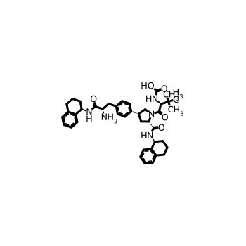 CC(C)(C)[C@H](NC(=O)O)C(=O)N1C[C@@H](c2ccc(C[C@H](N)C(=O)N[C@@H]3CCCc4ccccc43)cc2)C[C@H]1C(=O)N[C@@H]1CCCc2ccccc21